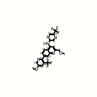 COCc1cc(Nc2cnc(C(F)(F)F)cn2)c2ccc(-c3ncc(OC)cc3C(F)(F)F)cc2n1